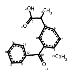 CC(C(=O)O)c1cccc(C(=O)c2ccccc2)c1.[CaH2]